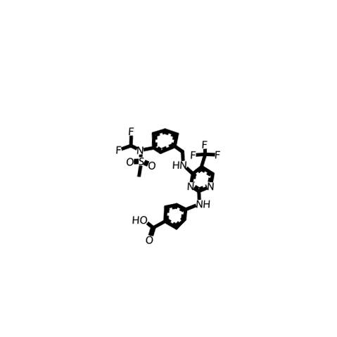 CS(=O)(=O)N(c1cccc(CNc2nc(Nc3ccc(C(=O)O)cc3)ncc2C(F)(F)F)c1)C(F)F